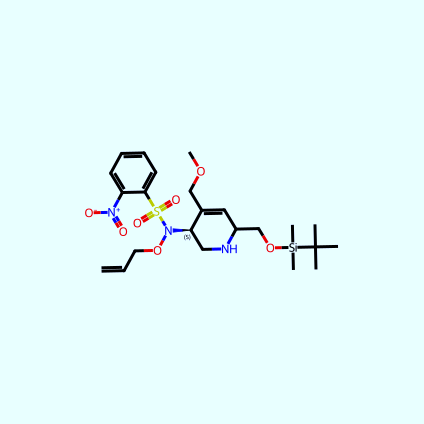 C=CCON([C@@H]1CNC(CO[Si](C)(C)C(C)(C)C)C=C1COC)S(=O)(=O)c1ccccc1[N+](=O)[O-]